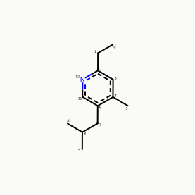 [CH2]Cc1cc(C)c(CC(C)C)cn1